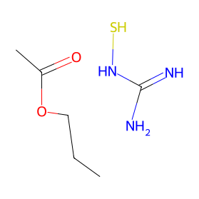 CCCOC(C)=O.N=C(N)NS